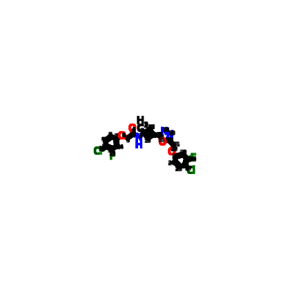 CC1(NC(=O)COc2ccc(Cl)c(F)c2)C=C(c2nnc(COc3ccc(Cl)c(F)c3)o2)C1